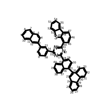 c1cc(-c2ccc3ccccc3c2)cc(-c2nc(-c3ccc(-c4cc5ccccc5c5ccccc45)c4ccccc34)nc(-c3cccc4c3sc3ccccc34)n2)c1